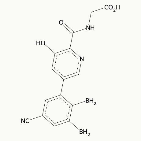 Bc1cc(C#N)cc(-c2cnc(C(=O)NCC(=O)O)c(O)c2)c1B